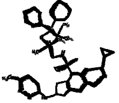 Cc1ccc(NC2Cc3cc4cnc(C5CC5)cc4c(S(=O)(=O)NCC(C)(C)O[Si](c4ccccc4)(c4ccccc4)C(C)(C)C)c3C2)nn1